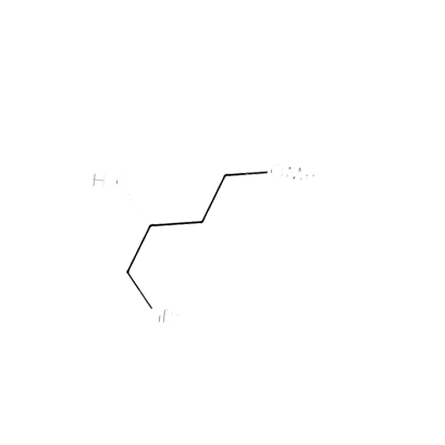 CCCC[C@H](C)CCOC